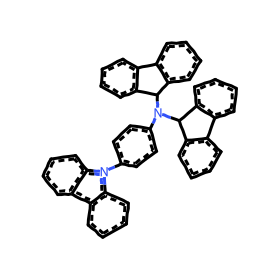 c1ccc2c(c1)-c1ccccc1C2N(c1ccc(-n2c3ccccc3c3ccccc32)cc1)C1c2ccccc2-c2ccccc21